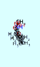 COC(=O)C(O)CNC(=O)c1ccc(C(Oc2cc(C)c(-c3ccc(C(C)C)cc3)c(C)c2)C(C)C)cc1